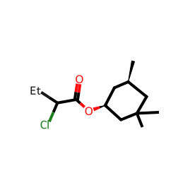 CCC(Cl)C(=O)O[C@H]1C[C@@H](C)CC(C)(C)C1